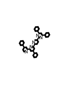 c1ccc(-c2ccnc(-c3cc(-c4ccccc4)cc(-c4ccc(-c5nc(-c6ccccc6)cc(-c6ccccc6)n5)cn4)n3)c2)cc1